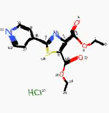 CCOC(=O)c1nc(-c2ccncc2)sc1C(=O)OCC.Cl